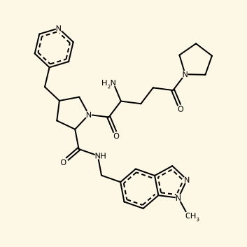 Cn1ncc2cc(CNC(=O)C3CC(Cc4ccncc4)CN3C(=O)C(N)CCC(=O)N3CCCC3)ccc21